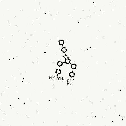 CCc1ccc(-c2cc#cc(-c3cc(-c4cccc(-c5ccc(C(C)C)cc5)c4)c4nc(-c5ccc(-c6cccnc6)cc5)oc4c3)c2)cc1